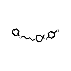 CC1(Oc2ccc(Cl)cc2)CCN(CCCCOc2ccccc2)CC1